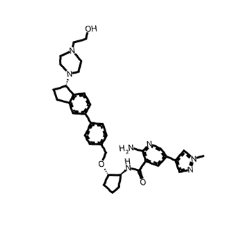 Cn1cc(-c2cnc(N)c(C(=O)N[C@H]3CCC[C@@H]3OCc3ccc(-c4ccc5c(c4)CC[C@@H]5N4CCN(CCO)CC4)cc3)c2)cn1